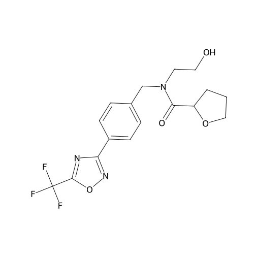 O=C(C1CCCO1)N(CCO)Cc1ccc(-c2noc(C(F)(F)F)n2)cc1